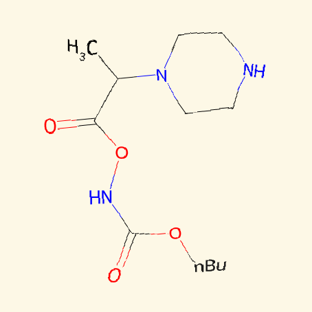 CCCCOC(=O)NOC(=O)C(C)N1CCNCC1